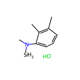 Cc1cccc(N(C)[SiH3])c1C.Cl